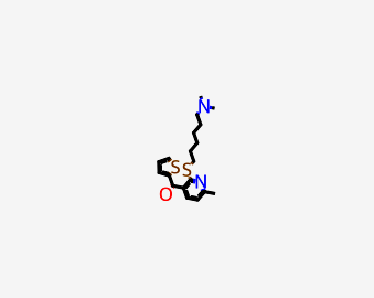 Cc1ccc(C(=O)c2cccs2)c(SCCCCCCN(C)C)n1